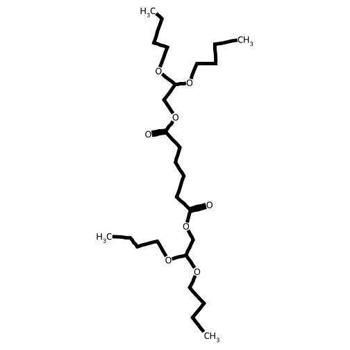 CCCCOC(COC(=O)CCCCC(=O)OCC(OCCCC)OCCCC)OCCCC